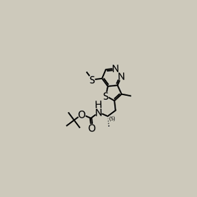 CSc1cnnc2c(C)c(C[C@H](C)NC(=O)OC(C)(C)C)sc12